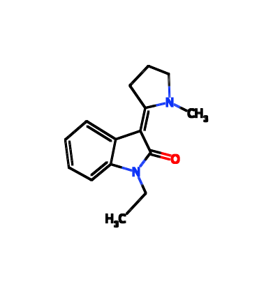 CCN1C(=O)C(=C2CCCN2C)c2ccccc21